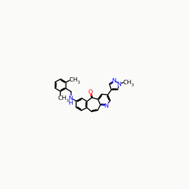 Cc1cccc(C)c1CNc1ccc2ccc3ncc(-c4cnn(C)c4)cc3c(=O)c2c1